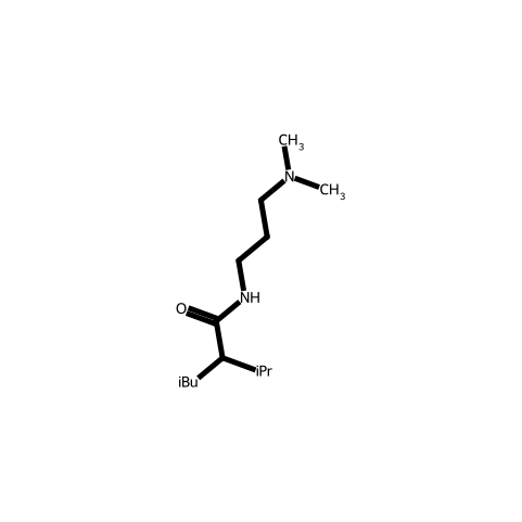 CCC(C)C(C(=O)NCCCN(C)C)C(C)C